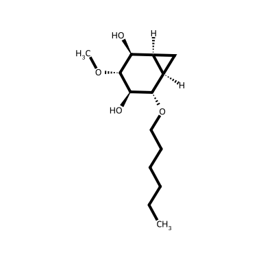 CCCCCCO[C@@H]1[C@@H](O)[C@H](OC)[C@@H](O)[C@H]2C[C@H]21